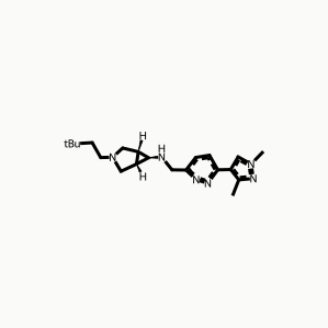 Cc1nn(C)cc1-c1ccc(CN[C@H]2[C@@H]3CN(CCC(C)(C)C)C[C@@H]32)nn1